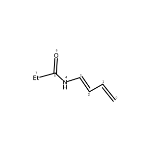 C=CC=CNC(=O)CC